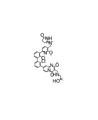 COc1nc(-c2cccc(-c3cccc(-c4ccn5c(=O)c(CNC[C@H](C)O)c(OC)nc5c4)c3Cl)c2Cl)ccc1CN(C)[C@H]1CCC(=O)N1